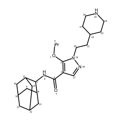 CC(C)Oc1c(C(=O)NC2C3CC4CC(C3)CC2C4)cnn1CCC1CCNCC1